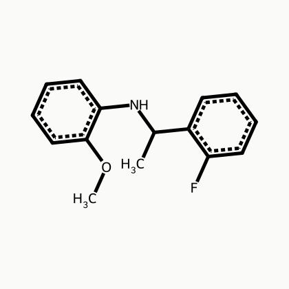 COc1ccccc1NC(C)c1ccccc1F